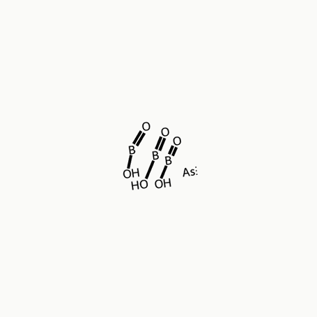 O=BO.O=BO.O=BO.[As]